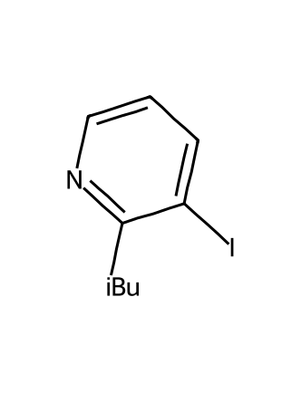 CCC(C)c1ncccc1I